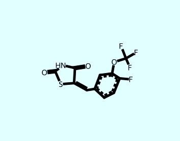 O=C1NC(=O)/C(=C\c2ccc(F)c(OC(F)(F)F)c2)S1